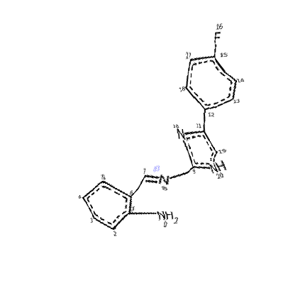 Nc1ccccc1/C=N/c1nc(-c2ccc(F)cc2)c[nH]1